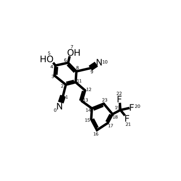 N#Cc1cc(O)c(O)c(C#N)c1C=Cc1cccc(C(F)(F)F)c1